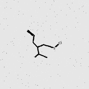 C=CCC(CSCl)C(C)C